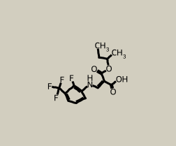 CCC(C)OC(=O)C(=CNc1cccc(C(F)(F)F)c1F)C(=O)O